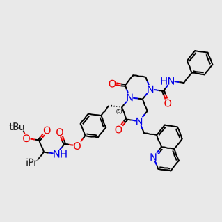 CC(C)C(NC(=O)Oc1ccc(C[C@H]2C(=O)N(Cc3cccc4cccnc34)CC3N(C(=O)NCc4ccccc4)CCC(=O)N32)cc1)C(=O)OC(C)(C)C